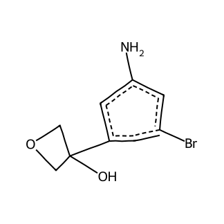 Nc1cc(Br)cc(C2(O)COC2)c1